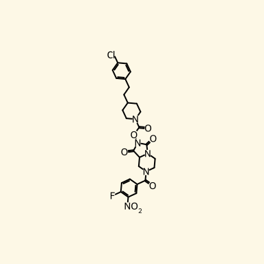 O=C(ON1C(=O)C2CN(C(=O)c3ccc(F)c([N+](=O)[O-])c3)CCN2C1=O)N1CCC(CCc2ccc(Cl)cc2)CC1